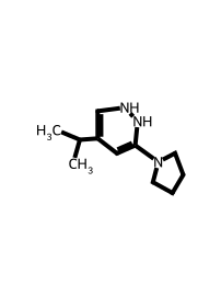 CC(C)C1=CNNC(N2CCCC2)=C1